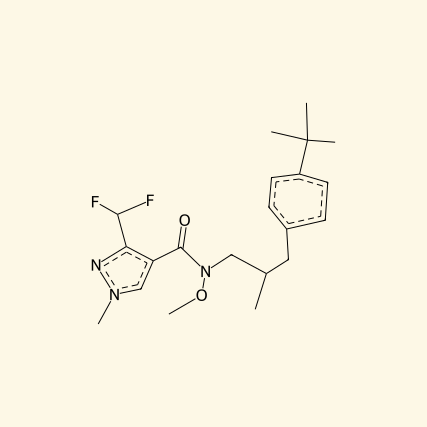 CON(CC(C)Cc1ccc(C(C)(C)C)cc1)C(=O)c1cn(C)nc1C(F)F